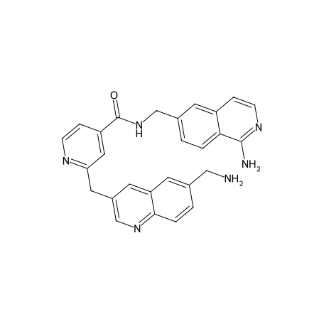 NCc1ccc2ncc(Cc3cc(C(=O)NCc4ccc5c(N)nccc5c4)ccn3)cc2c1